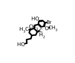 C=C1CC(CCCO)CC(C)(C)C1Cc1cc(OC)c(Br)cc1O